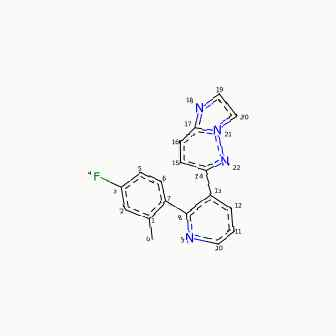 Cc1cc(F)ccc1-c1ncccc1-c1ccc2nccn2n1